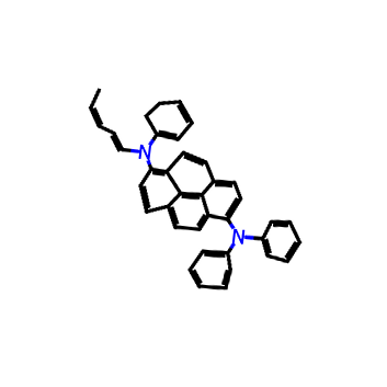 C/C=C\C=C\N(C1=CC=CCC1)c1ccc2ccc3c(N(c4ccccc4)c4ccccc4)ccc4ccc1c2c43